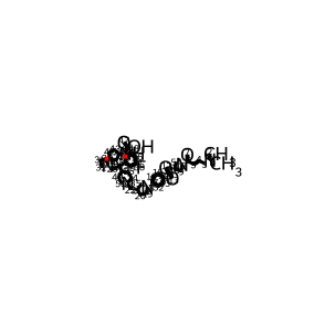 CN(C)C/C=C/C(=O)N1CC(S(=O)(=O)c2ccc(N3CC[C@@H](CN4CCC(C(CN5CCC5)(c5cccc(F)c5)[C@H]5CCC[C@@H]5NC(=O)O)CC4)C3)cc2)C1